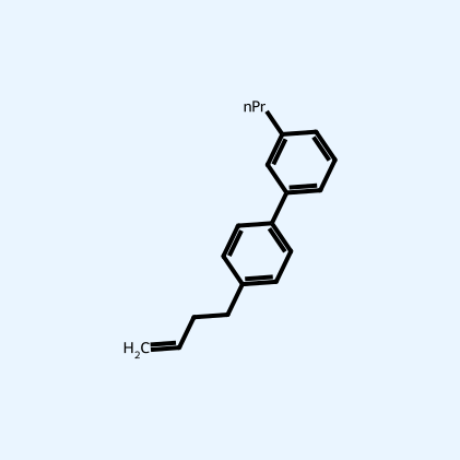 [CH2]CCc1cccc(-c2ccc(CCC=C)cc2)c1